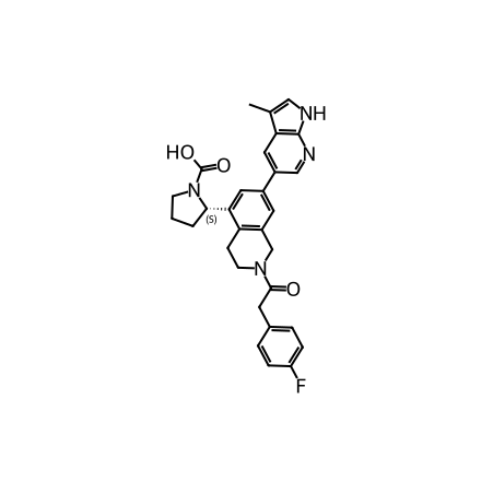 Cc1c[nH]c2ncc(-c3cc4c(c([C@@H]5CCCN5C(=O)O)c3)CCN(C(=O)Cc3ccc(F)cc3)C4)cc12